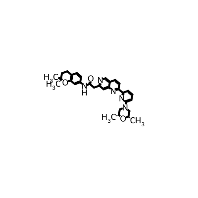 C[C@@H]1CN(c2cccc(-c3ccc4cnc(CC(=O)Nc5ccc6c(c5)OC(C)(C)CC6)cc4n3)n2)C[C@H](C)O1